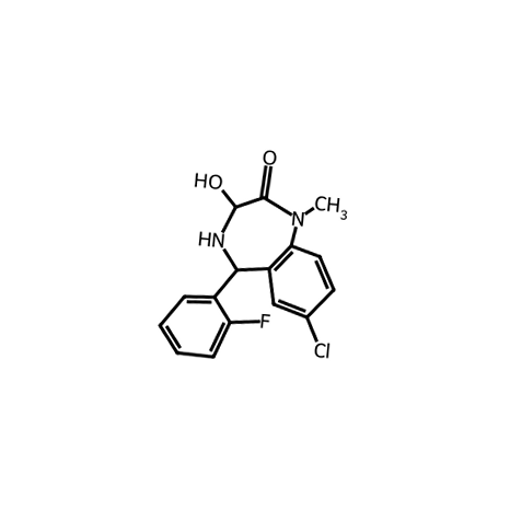 CN1C(=O)C(O)NC(c2ccccc2F)c2cc(Cl)ccc21